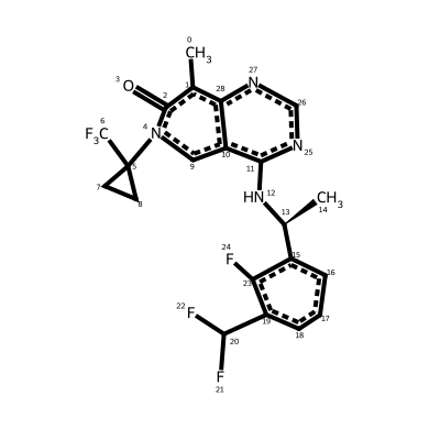 Cc1c(=O)n(C2(C(F)(F)F)CC2)cc2c(N[C@@H](C)c3cccc(C(F)F)c3F)ncnc12